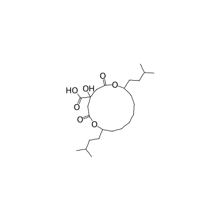 CC(C)CCC1CCCCCCC(CCC(C)C)OC(=O)CC(O)(C(=O)O)CC(=O)O1